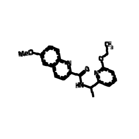 COc1ccc2nc(C(=O)NC(C)c3cccc(OCC(F)(F)F)n3)ccc2c1